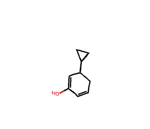 OC1=CC(C2CC2)CC=C1